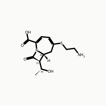 C[C@@H](O)[C@H]1C(=O)N2C(C(=O)O)=CC=C(SCCN)C[C@H]12